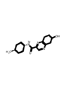 C[C@H]1CC[C@H](NC(=O)c2cnc3c(n2)CCC(O)C3)CC1